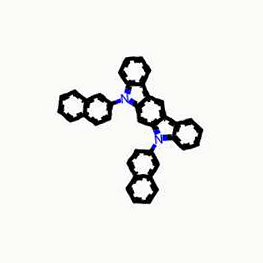 c1ccc2cc(-n3c4ccccc4c4cc5c6ccccc6n(-c6ccc7ccccc7c6)c5cc43)ccc2c1